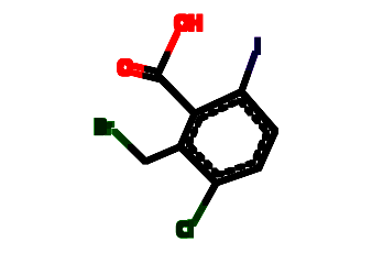 O=C(O)c1c(I)ccc(Cl)c1CBr